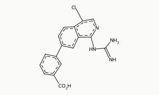 N=C(N)Nc1ncc(Cl)c2ccc(-c3cccc(C(=O)O)c3)cc12